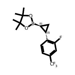 CC1(C)OB([C@H]2C[C@@H]2c2ccc(C(F)(F)F)cc2F)OC1(C)C